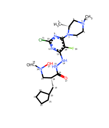 C[C@@H]1CN(C)CCN1c1nc(Cl)nc(NNC(=O)[C@H](CC2CCCC2)CN(O)C=O)c1F